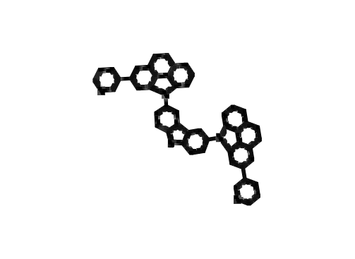 c1cncc(-c2cc3ccc4cccc5c4c3c(c2)n5-c2ccc3sc4ccc(-n5c6cccc7ccc8cc(-c9cccnc9)cc5c8c76)cc4c3c2)c1